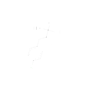 CC(C)(C)C(=O)Cc1ccc(Br)cc1